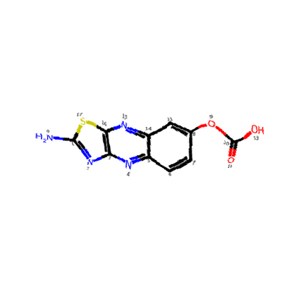 Nc1nc2nc3ccc(OC(=O)O)cc3nc2s1